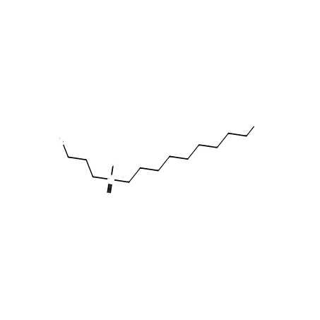 CCCCCCCCCCP(=O)(O)CCCN